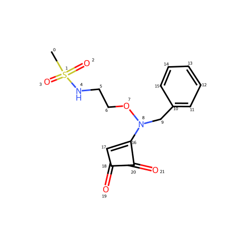 CS(=O)(=O)NCCON(Cc1ccccc1)c1cc(=O)c1=O